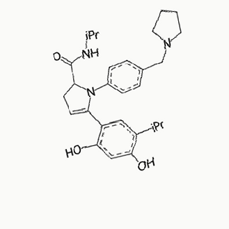 CC(C)NC(=O)C1CC=C(c2cc(C(C)C)c(O)cc2O)N1c1ccc(CN2CCCC2)cc1